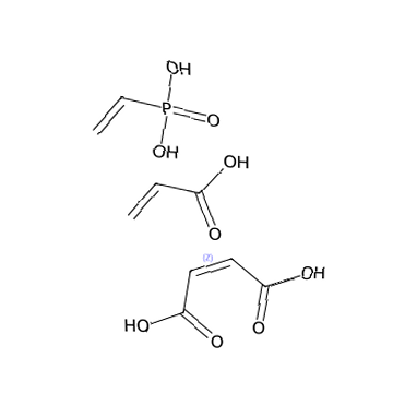 C=CC(=O)O.C=CP(=O)(O)O.O=C(O)/C=C\C(=O)O